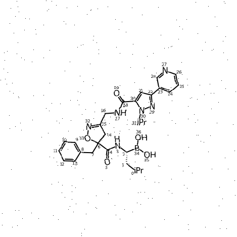 CC(C)C[C@H](NC(=O)C1(Cc2ccccc2)CC(CNC(=O)c2cc(-c3cccnc3)nn2C(C)C)=NO1)B(O)O